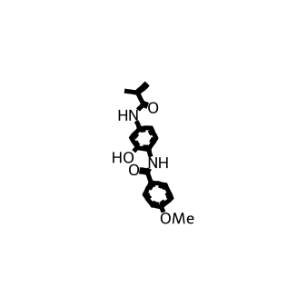 C=C(C)C(=O)Nc1ccc(NC(=O)c2ccc(OC)cc2)c(O)c1